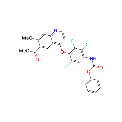 COC(=O)c1cc2c(Oc3c(F)cc(NC(=O)Oc4ccccc4)c(Cl)c3F)ccnc2cc1OC